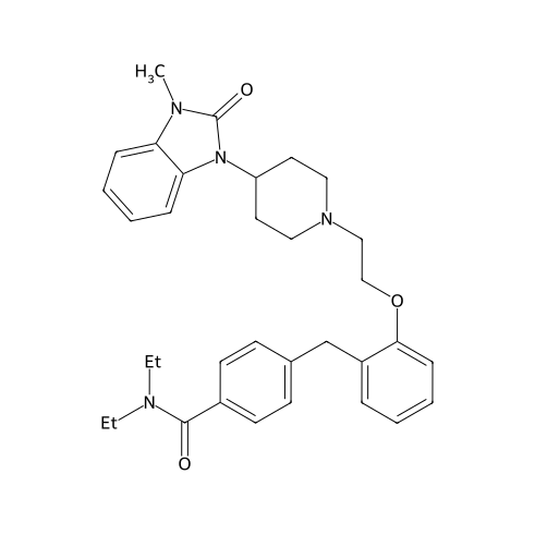 CCN(CC)C(=O)c1ccc(Cc2ccccc2OCCN2CCC(n3c(=O)n(C)c4ccccc43)CC2)cc1